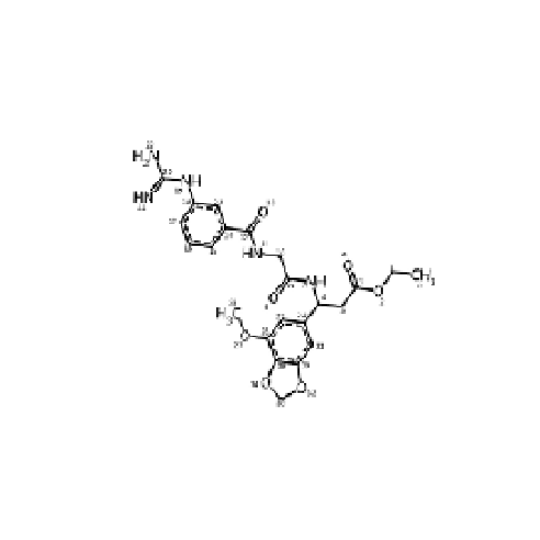 CCOC(=O)CC(NC(=O)CNC(=O)c1cccc(NC(=N)N)c1)c1cc(OC)c2c(c1)OCO2